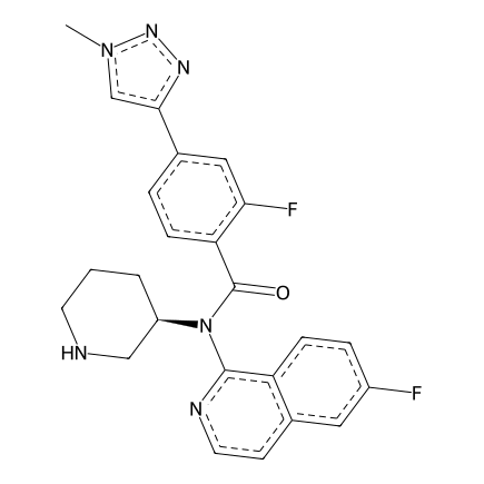 Cn1cc(-c2ccc(C(=O)N(c3nccc4cc(F)ccc34)[C@@H]3CCCNC3)c(F)c2)nn1